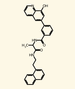 CC(NC(=O)c1cccc(-c2cc(O)c3ncccc3c2)c1)C(=O)NCCc1cccc2ccccc12